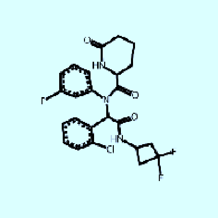 O=C1CCCC(C(=O)N(c2cccc(F)c2)C(C(=O)NC2CC(F)(F)C2)c2ccccc2Cl)N1